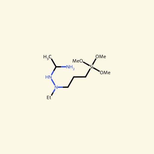 CCN(CCC[Si](OC)(OC)OC)NC(C)N